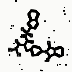 CCN(CC)C(=O)C(Cc1ccc(N2C(=O)c3ccccc3C2=O)cc1)C(=O)NS(=O)(=O)c1ccc2ccccc2c1